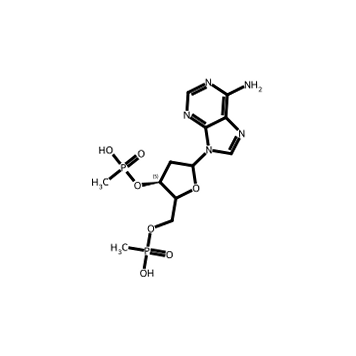 CP(=O)(O)OCC1OC(n2cnc3c(N)ncnc32)C[C@@H]1OP(C)(=O)O